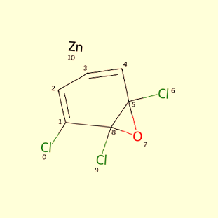 ClC1=CC=CC2(Cl)OC12Cl.[Zn]